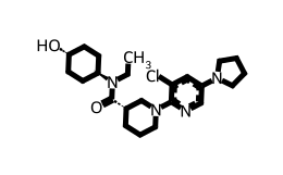 CCN(C(=O)[C@H]1CCCN(c2ncc(N3CCCC3)cc2Cl)C1)[C@H]1CC[C@H](O)CC1